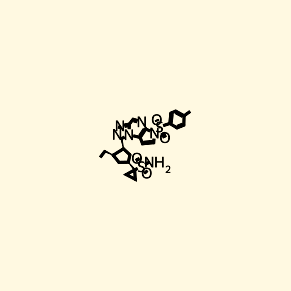 CC[C@@H]1C[C@H](C2(S(N)(=O)=O)CC2)C[C@@H]1c1nnc2cnc3c(ccn3S(=O)(=O)c3ccc(C)cc3)n12